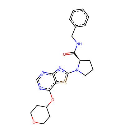 O=C(NCc1ccccc1)[C@H]1CCCN1c1nc2ncnc(OC3CCOCC3)c2s1